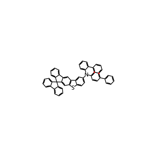 c1ccc(-c2ccc(N(c3ccc4sc5cc6c(cc5c4c3)-c3ccccc3C63c4ccccc4-c4ccccc43)c3ccccc3-c3ccccc3)cc2)cc1